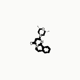 C[C@@H]1CN(c2cc(=O)n3ccc4ccccc4c3n2)C[C@H](C)O1